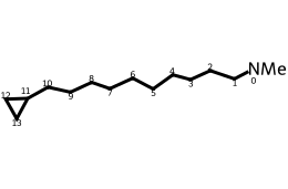 CNCCCCCCCCCCC1CC1